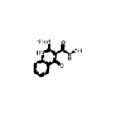 CCCCCCCc1[nH]c2ccccc2c(=O)c1C(=O)NO